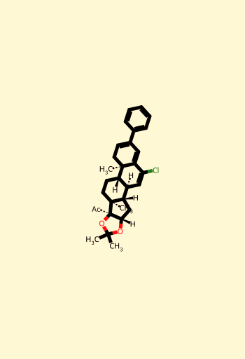 CC(=O)[C@@]12OC(C)(C)O[C@H]1C[C@H]1[C@@H]3C=C(Cl)C4=CC(c5ccccc5)=CC[C@]4(C)[C@H]3CC[C@@]12C